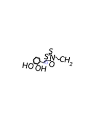 C=CCN1C(=O)/C(=C/c2cccc(O)c2O)SC1=S